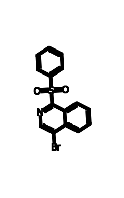 O=S(=O)(c1ccccc1)c1ncc(Br)c2ccccc12